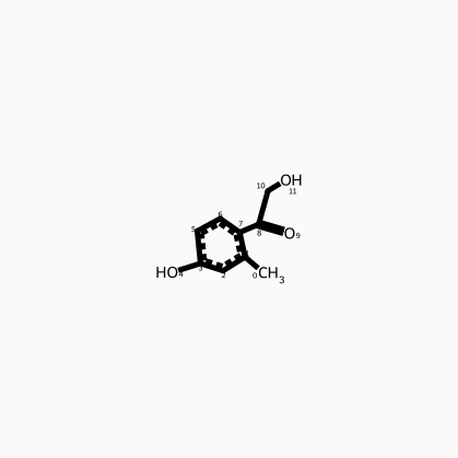 Cc1cc(O)ccc1C(=O)CO